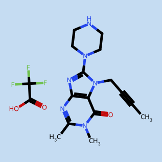 CC#CCn1c(N2CCNCC2)nc2nc(C)n(C)c(=O)c21.O=C(O)C(F)(F)F